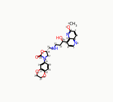 COc1ccc2nccc(C(O)CCNC[C@@H]3CN(c4ccc5c(c4)OCCO5)C(=O)O3)c2n1